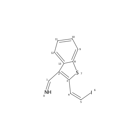 N=Cc1c(/C=C\I)sc2ccccc12